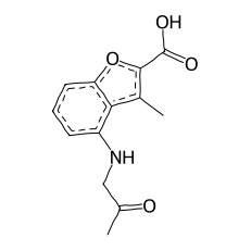 CC(=O)CNc1cccc2oc(C(=O)O)c(C)c12